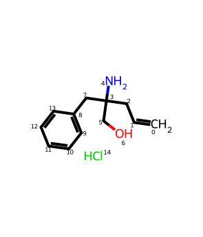 C=CCC(N)(CO)Cc1ccccc1.Cl